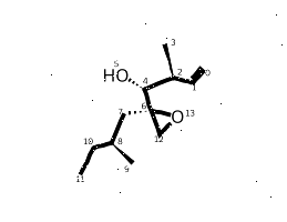 C=C[C@H](C)[C@@H](O)[C@]1(C[C@@H](C)CC)CO1